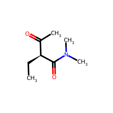 CC[C@@H](C(C)=O)C(=O)N(C)C